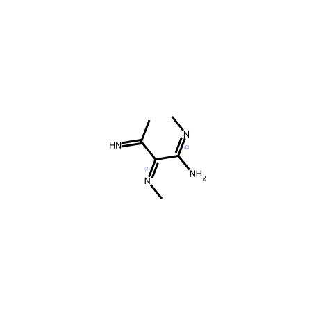 C/N=C(C(C)=N)\C(N)=N/C